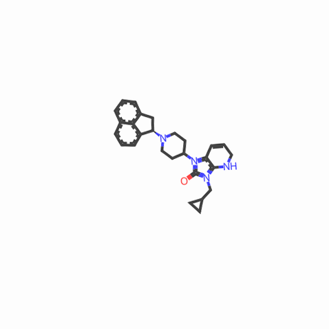 O=c1n(CC2CC2)c2c(n1C1CCN([C@@H]3Cc4cccc5cccc3c45)CC1)C=CCN2